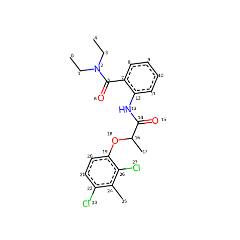 CCN(CC)C(=O)c1ccccc1NC(=O)C(C)Oc1ccc(Cl)c(C)c1Cl